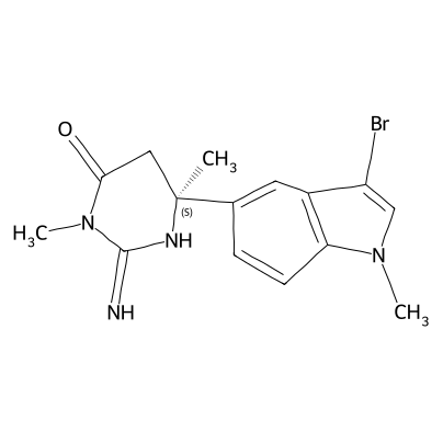 CN1C(=N)N[C@](C)(c2ccc3c(c2)c(Br)cn3C)CC1=O